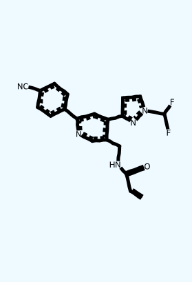 C=CC(=O)NCc1cnc(-c2ccc(C#N)cc2)cc1-c1ccn(C(F)F)n1